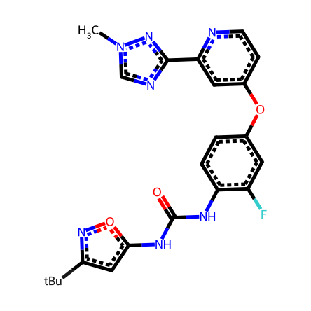 Cn1cnc(-c2cc(Oc3ccc(NC(=O)Nc4cc(C(C)(C)C)no4)c(F)c3)ccn2)n1